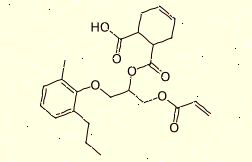 C=CC(=O)OCC(COc1c(C)cccc1CCC)OC(=O)C1CC=CCC1C(=O)O